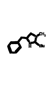 CN1CC(Cc2ccccc2)NC1C(C)(C)C